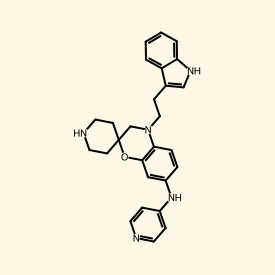 c1ccc2c(CCN3CC4(CCNCC4)Oc4cc(Nc5ccncc5)ccc43)c[nH]c2c1